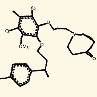 COc1c(Cl)c(C)c(C(C)=O)c(OCCN2CCC(=O)CC2)c1OCCC(C)c1ccc(F)cc1